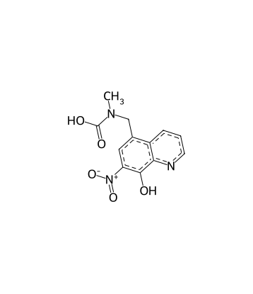 CN(Cc1cc([N+](=O)[O-])c(O)c2ncccc12)C(=O)O